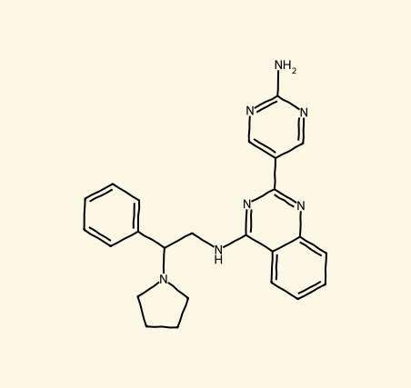 Nc1ncc(-c2nc(NCC(c3ccccc3)N3CCCC3)c3ccccc3n2)cn1